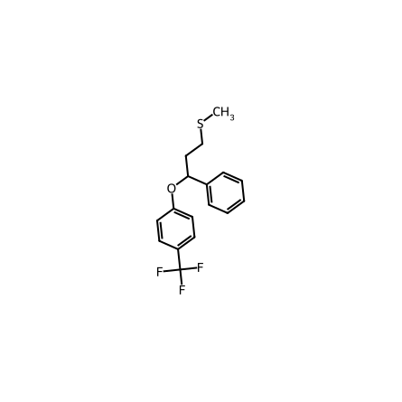 CSCCC(Oc1ccc(C(F)(F)F)cc1)c1ccccc1